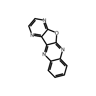 c1ccc2nc3c(nc2c1)oc1nccnc13